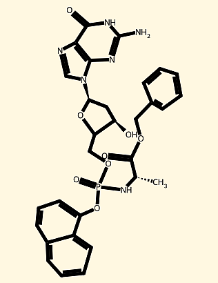 C[C@H](NP(=O)(OCC1O[C@@H](n2cnc3c(=O)[nH]c(N)nc32)C[C@H]1O)Oc1cccc2ccccc12)C(=O)OCc1ccccc1